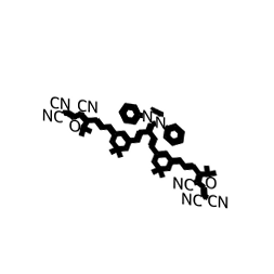 CC1(C)CC(/C=C/C(/C=C/C2=CC(=C/C=C/C3=C(C#N)C(=C(C#N)C#N)OC3(C)C)/CC(C)(C)C2)=C2N(c3ccccc3)CCN2c2ccccc2)=CC(=C/C=C/C2=C(C#N)C(=C(C#N)C#N)OC2(C)C)/C1